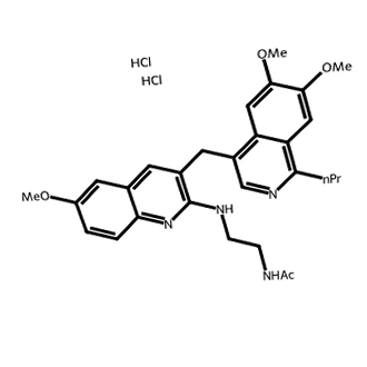 CCCc1ncc(Cc2cc3cc(OC)ccc3nc2NCCNC(C)=O)c2cc(OC)c(OC)cc12.Cl.Cl